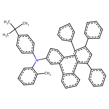 Cc1ccccc1N(c1ccc(C(C)(C)C)cc1)c1ccc2c(c1)c1ccccc1c1c(-c3ccccc3)cc(-c3ccccc3)c(-c3ccccc3)c21